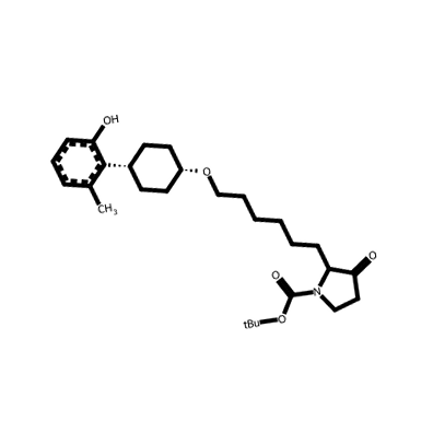 Cc1cccc(O)c1[C@H]1CC[C@@H](OCCCCCCC2C(=O)CCN2C(=O)OC(C)(C)C)CC1